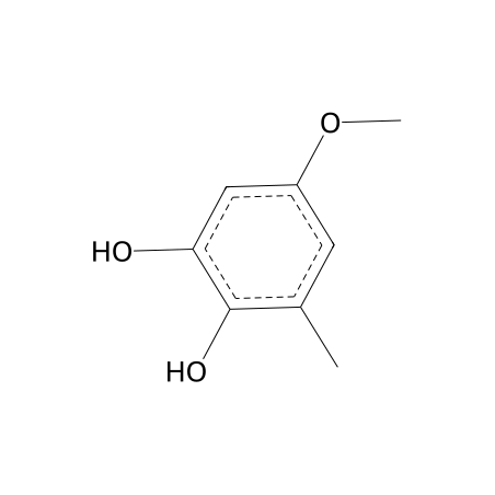 COc1cc(C)c(O)c(O)c1